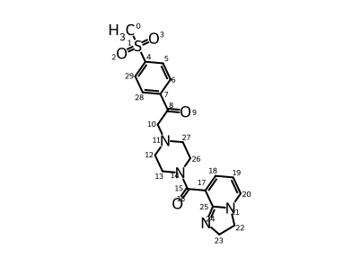 CS(=O)(=O)c1ccc(C(=O)CN2CCN(C(=O)C3=CC=CN4CCN=C34)CC2)cc1